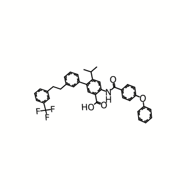 CC(C)c1cc(NC(=O)c2ccc(Oc3ccccc3)cc2)c(C(=O)O)cc1-c1cccc(CCc2cccc(C(F)(F)F)c2)c1